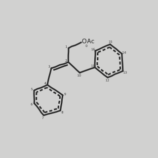 CC(=O)OCC(=Cc1ccccc1)Cc1ccccc1